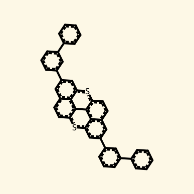 c1ccc(-c2cccc(-c3cc4ccc5sc6cc(-c7cccc(-c8ccccc8)c7)cc7ccc8sc(c3)c4c5-c8c76)c2)cc1